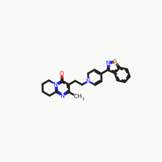 Cc1nc2n(c(=O)c1CCN1C=CC(c3nsc4ccccc34)=CC1)CCCC2